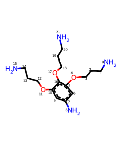 NCCCOc1cc(N)cc(OCCCN)c1OCCCN